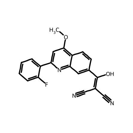 COc1cc(-c2ccccc2F)nc2cc(C(O)=C(C#N)C#N)ccc12